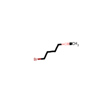 C=BCCCCBr